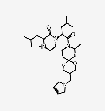 CC(C)CC(C(=O)N1CCC2(C[C@@H]1C)OCC(CN1CC=CC1)CO2)N1CCN[C@@H](CC(C)C)C1=O